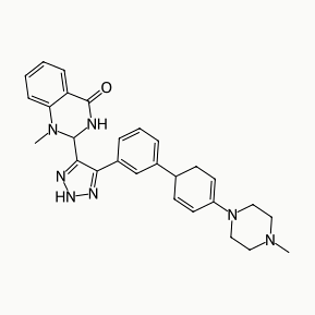 CN1CCN(C2=CCC(c3cccc(-c4n[nH]nc4C4NC(=O)c5ccccc5N4C)c3)C=C2)CC1